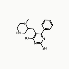 CN1CCNCC1Cc1c(O)nc(S)nc1-c1ccccc1